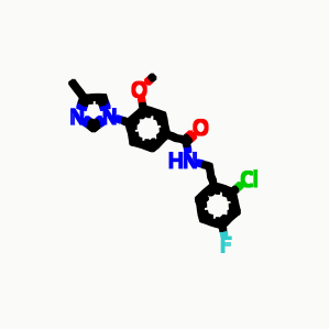 COc1cc(C(=O)NCc2ccc(F)cc2Cl)ccc1-n1cnc(C)c1